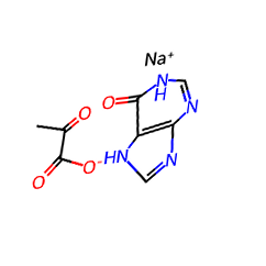 CC(=O)C(=O)[O-].O=c1[nH]cnc2nc[nH]c12.[Na+]